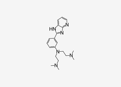 CN(C)CCN(CCN(C)C)c1cccc(-c2nc3ncccc3[nH]2)c1